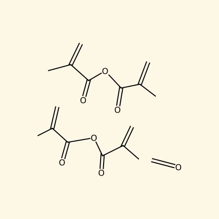 C=C(C)C(=O)OC(=O)C(=C)C.C=C(C)C(=O)OC(=O)C(=C)C.C=O